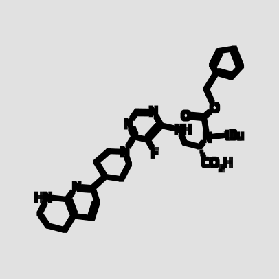 CC(C)(C)N(C(=O)OCc1ccccc1)[C@@H](CNc1ncnc(N2CCC(c3ccc4c(n3)NCCC4)CC2)c1F)C(=O)O